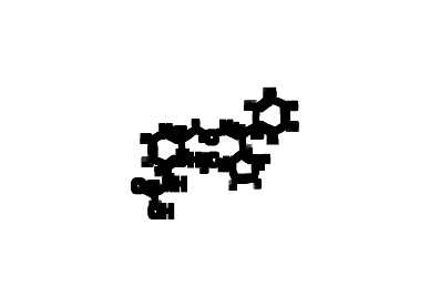 Cn1ccnc1C(=NOCc1nccc(NC(=O)O)n1)c1ccccc1